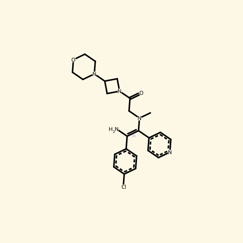 CN(CC(=O)N1CC(N2CCOCC2)C1)/C(=C(\N)c1ccc(Cl)cc1)c1ccncc1